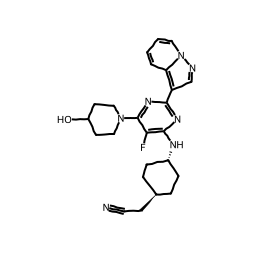 N#CC[C@H]1CC[C@H](Nc2nc(-c3cnn4ccccc34)nc(N3CCC(O)CC3)c2F)CC1